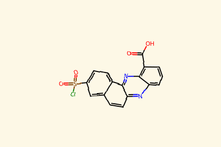 O=C(O)c1cccc2nc3ccc4cc(S(=O)(=O)Cl)ccc4c3nc12